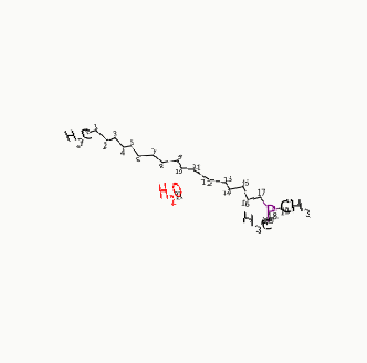 CCCCCCCCCCCCCCCCCCP(C)C.O